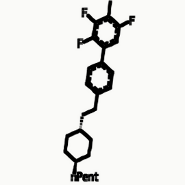 CCCCC[C@H]1CC[C@H](CCc2ccc(-c3cc(F)c(C)c(F)c3F)cc2)CC1